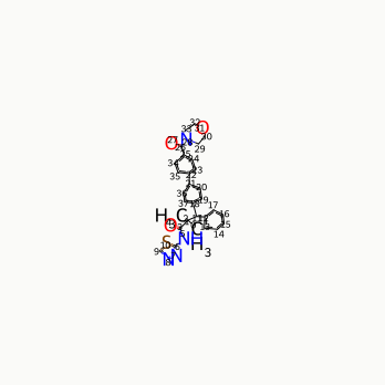 CC(C)(C(=O)Nc1nncs1)C(c1ccccc1)c1ccc(-c2ccc(C(=O)N3CCOCC3)cc2)cc1